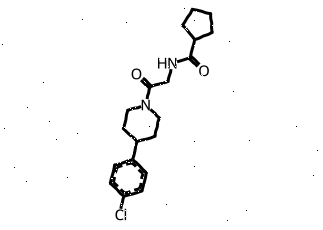 O=C(NCC(=O)N1CCC(c2ccc(Cl)cc2)CC1)C1CCCC1